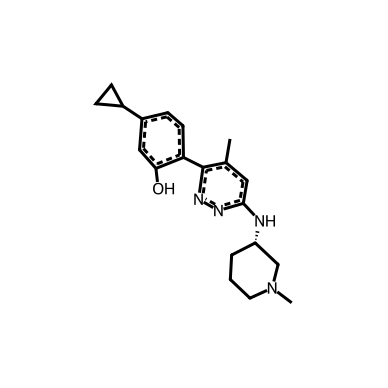 Cc1cc(N[C@H]2CCCN(C)C2)nnc1-c1ccc(C2CC2)cc1O